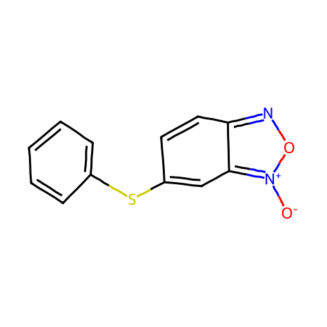 [O-][n+]1onc2ccc(Sc3ccccc3)cc21